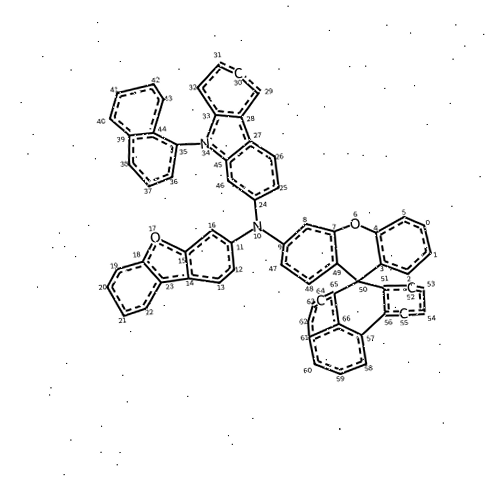 c1ccc2c(c1)Oc1cc(N(c3ccc4c(c3)oc3ccccc34)c3ccc4c5ccccc5n(-c5cccc6ccccc56)c4c3)ccc1C21c2ccccc2-c2cccc3cccc1c23